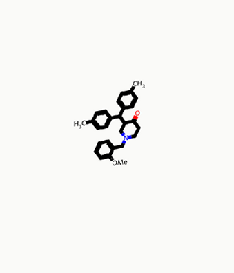 COc1ccccc1CN1CCC(=O)C(C(c2ccc(C)cc2)c2ccc(C)cc2)C1